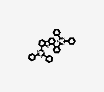 c1ccc(-c2nc(-c3ccccc3)nc(-c3ccccc3-c3cccc4c3sc3c(-c5nc(-c6ccccc6)nc(-c6ccccc6)n5)cccc34)n2)cc1